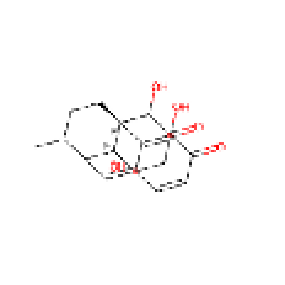 CC1CC[C@@]23C4=C(O)C(=O)C=CC4=CC1[C@]2(O)CCC(=O)C3O